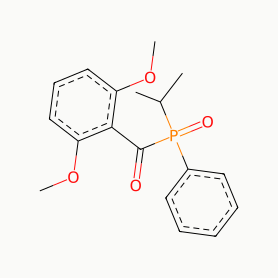 COc1cccc(OC)c1C(=O)P(=O)(c1ccccc1)C(C)C